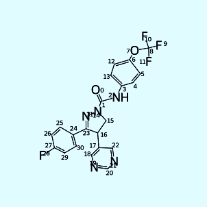 O=C(Nc1ccc(OC(F)(F)F)cc1)N1CC(c2cncnc2)C(c2ccc(F)cc2)=N1